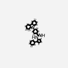 N=C(NC1C=CC=C1c1ccccc1)c1ccc(-n2c3ccccc3c3ccccc32)cc1